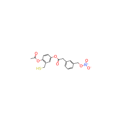 CC(=O)Oc1ccc(OC(=O)Cc2cccc(CO[N+](=O)[O-])c2)cc1CS